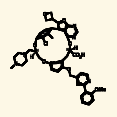 COc1ccccc1-c1nccc(COc2ccc3cc2C[C@H](C(=O)O)Oc2ncnc4oc(C5COC5)c(c24)-c2ccc(c(Cl)c2C)O[C@H](CN2CCN(C)CC2)CO3)n1